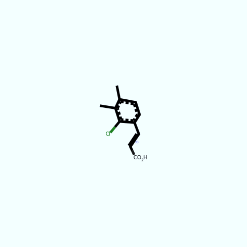 Cc1ccc(/C=C/C(=O)O)c(Cl)c1C